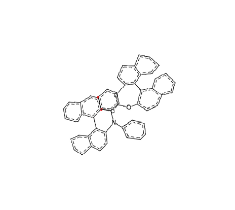 c1ccc(N(c2ccccc2)c2ccc3ccccc3c2-c2c(OC3Oc4ccc5ccccc5c4-c4c(ccc5ccccc45)O3)ccc3ccccc23)cc1